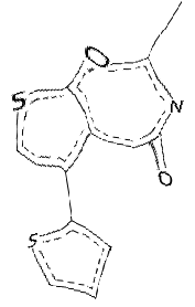 Cc1nc(=O)c2c(-c3cccs3)csc2o1